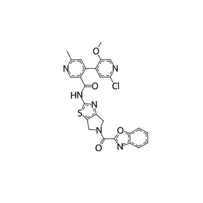 COc1cnc(Cl)cc1-c1cc(C)ncc1C(=O)Nc1nc2c(s1)CN(C(=O)c1nc3ccccc3o1)C2